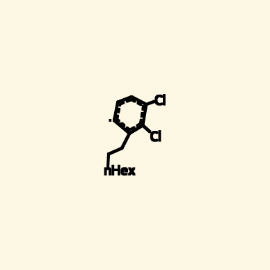 CCCCCCCCc1[c]ccc(Cl)c1Cl